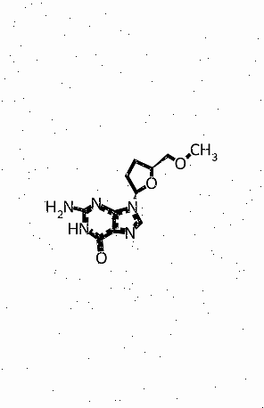 COC[C@@H]1CC[C@@H](n2cnc3c(=O)[nH]c(N)nc32)O1